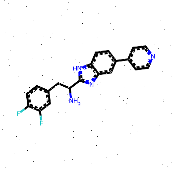 NC(Cc1ccc(F)c(F)c1)c1nc2cc(-c3ccncc3)ccc2[nH]1